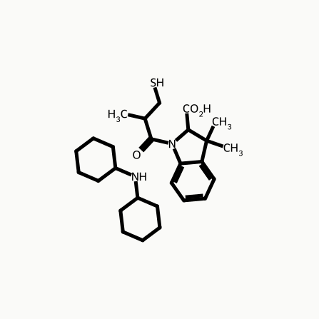 C1CCC(NC2CCCCC2)CC1.CC(CS)C(=O)N1c2ccccc2C(C)(C)C1C(=O)O